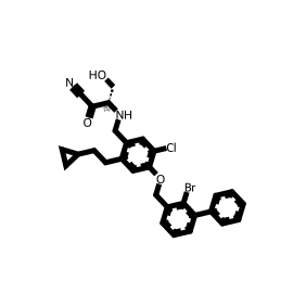 N#CC(=O)[C@H](CO)NCc1cc(Cl)c(OCc2cccc(-c3ccccc3)c2Br)cc1CCC1CC1